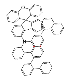 C1=CC(c2ccccc2-c2ccccc2C2=CCCC=C2)C(N(c2cccc(-c3cccc4ccccc34)c2)c2cccc3c2-c2ccccc2C32c3ccccc3Oc3ccccc32)C=C1